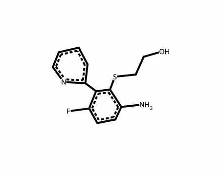 Nc1ccc(F)c(-c2ccccn2)c1SCCO